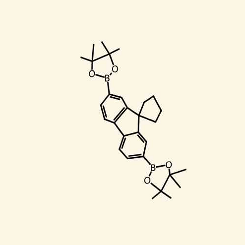 CC1(C)OB(c2ccc3c(c2)C2(CCCC2)c2cc(B4OC(C)(C)C(C)(C)O4)ccc2-3)OC1(C)C